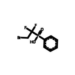 O=P(O)(c1ccccc1)C(F)(F)CBr